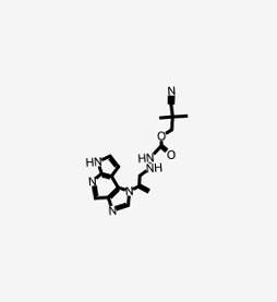 C=C(CNNC(=O)OCC(C)(C)C#N)n1cnc2cnc3[nH]ccc3c21